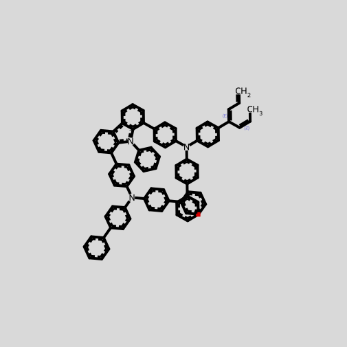 C=C/C=C(\C=C/C)c1ccc(N(c2ccc(-c3ccccc3)cc2)c2ccc(-c3cccc4c5cccc(-c6ccc(N(c7ccc(-c8ccccc8)cc7)c7ccc(-c8ccccc8)cc7)cc6)c5n(-c5ccccc5)c34)cc2)cc1